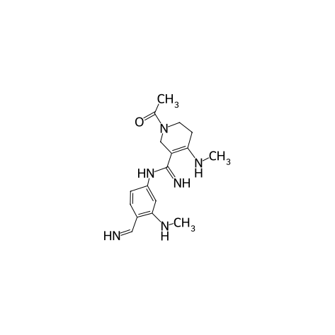 CNC1=C(C(=N)Nc2ccc(C=N)c(NC)c2)CN(C(C)=O)CC1